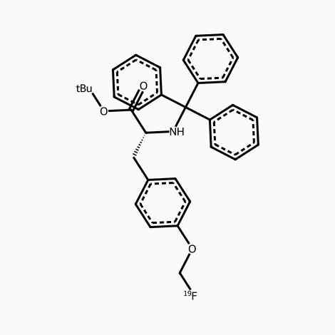 CC(C)(C)OC(=O)[C@@H](Cc1ccc(OC[19F])cc1)NC(c1ccccc1)(c1ccccc1)c1ccccc1